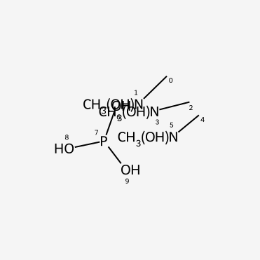 CN(C)O.CN(C)O.CN(C)O.OP(O)O